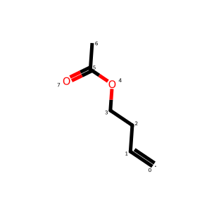 [CH]=CCCOC(C)=O